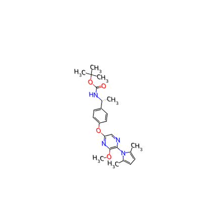 COc1nc(Oc2ccc([C@@H](C)NC(=O)OC(C)(C)C)cc2)cnc1-n1c(C)ccc1C